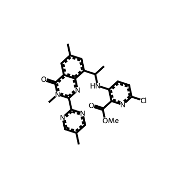 COC(=O)c1nc(Cl)ccc1NC(C)c1cc(C)cc2c(=O)n(C)c(-c3ncc(C)cn3)nc12